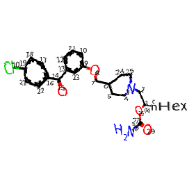 CCCCCC[C@H](CN1CCC(COc2cccc(C(=O)c3ccc(Cl)cc3)c2)CC1)OC(N)=O